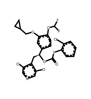 O=C(O[C@@H](Cc1c(Cl)cncc1Cl)c1ccc(OC(F)F)c(OCC2CC2)c1)Sc1ccccc1Cl